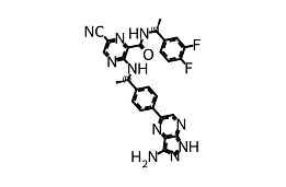 C[C@H](NC(=O)c1nc(C#N)cnc1N[C@H](C)c1ccc(-c2cnc3[nH]nc(N)c3n2)cc1)c1ccc(F)c(F)c1